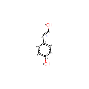 O/C=C/c1ccc(O)cc1